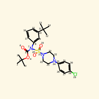 CC(C)(C)OC(=O)N(c1[c]c(C(C)(C)C)ccc1)S(=O)(=O)N1CCN(c2ccc(Cl)cc2)CC1